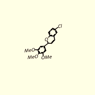 COc1cc(C2C=Cc3cc(Cl)ccc3O2)cc(OC)c1OC